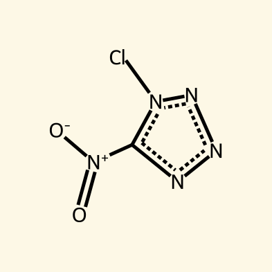 O=[N+]([O-])c1nnnn1Cl